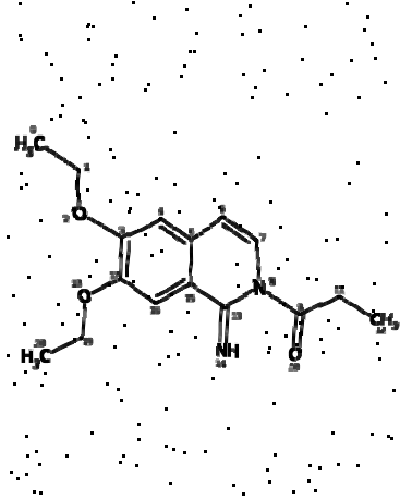 CCOc1cc2ccn(C(=O)CC)c(=N)c2cc1OCC